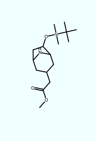 COC(=O)CC1CC2CC(O[Si](C)(C)C(C)(C)C)C(C1)N2